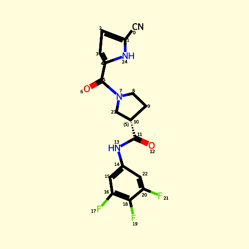 N#Cc1ccc(C(=O)N2CC[C@H](C(=O)Nc3cc(F)c(F)c(F)c3)C2)[nH]1